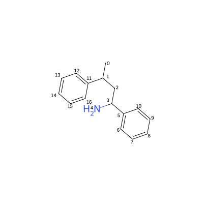 CC(CC(N)c1ccccc1)c1ccccc1